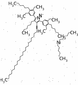 CCCCCCCCCCCCCCCCCCCCCCC#CC1=C(c2cc(CC)c(CCCCCC)c(CC)c2)[N+](=[N-])C(c2cc(CC)c(CCCCCC)c(CC)c2)=C1CCCCCC.CCCCC[CH2][Ni][CH2]CCCCC